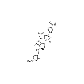 COc1ccc(CNc2ncnc3c2c(C)nn3C(C)c2cc(Cl)c(C)c(-c3ccc(C(=O)N(C)C)nc3)c2OC)c(C)c1